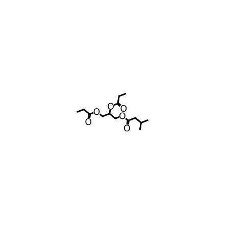 CCC(=O)OCC(COC(=O)CC(C)C)OC(=O)CC